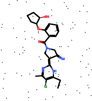 CCC1=C(Cl)C(C)=N/C(=C2\CN(C(=O)c3ccccc3O[C@H]3CCC[C@@H]3O)CC2=N)N1